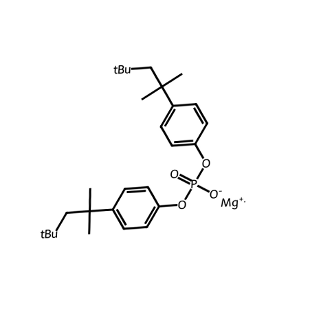 CC(C)(C)CC(C)(C)c1ccc(OP(=O)([O-])Oc2ccc(C(C)(C)CC(C)(C)C)cc2)cc1.[Mg+]